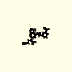 CC(=O)c1cccc(CNc2nc(N(CCO)C(C)C)nc3nn[nH]c23)c1